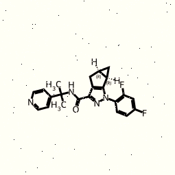 CC(C)(NC(=O)c1nn(-c2ccc(F)cc2F)c2c1C[C@H]1C[C@@H]21)c1ccncc1